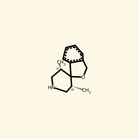 C[C@@H]1CNC[C@H](C)C12OCc1ccccc12